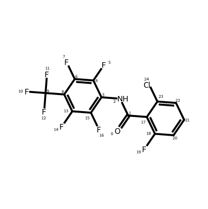 O=C(Nc1c(F)c(F)c(C(F)(F)F)c(F)c1F)c1c(F)cccc1Cl